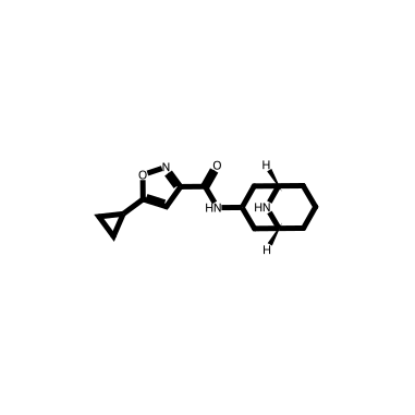 O=C(NC1C[C@H]2CCC[C@@H](C1)N2)c1cc(C2CC2)on1